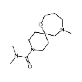 CN1CCCOC2(CCN(C(=O)N(C)C)CC2)C1